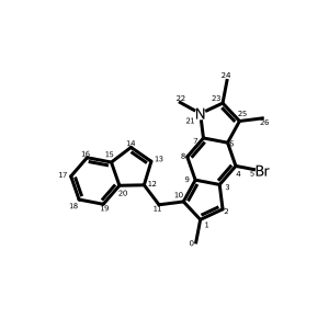 CC1=CC2=C(Br)C3C(=CC2=C1CC1C=Cc2ccccc21)N(C)C(C)=C3C